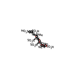 COc1cc(N=Nc2cc(OCCCS(=O)(=O)O)c(N=Nc3c(C)c(C#N)c4nc5cc(S(=O)(=O)O)c(Cl)cc5n4c3O)cc2C)c(SCCCS(=O)(=O)O)cc1N=Nc1nc2c(S(=O)(=O)O)cc3cc(S(=O)(=O)O)ccc3c2s1